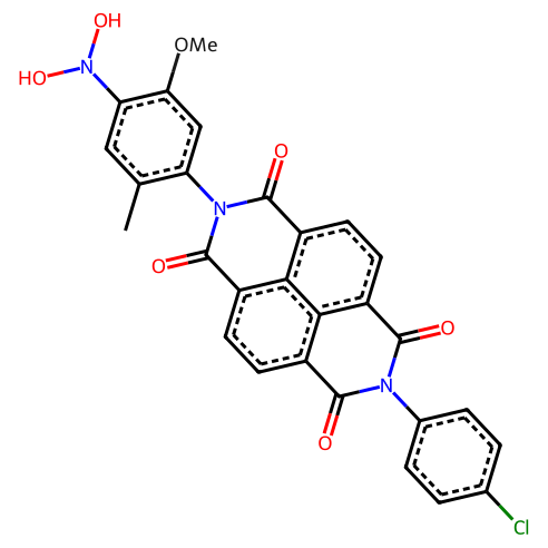 COc1cc(N2C(=O)c3ccc4c5c(ccc(c35)C2=O)C(=O)N(c2ccc(Cl)cc2)C4=O)c(C)cc1N(O)O